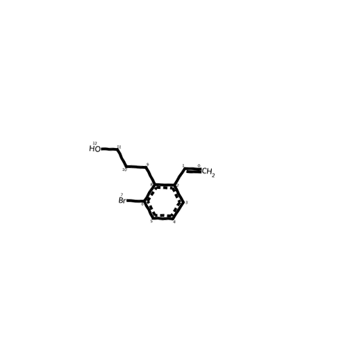 C=Cc1cccc(Br)c1CCCO